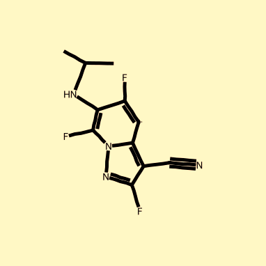 CC(C)Nc1c(F)[c]c2c(C#N)c(F)nn2c1F